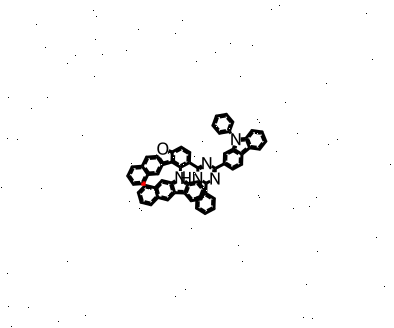 c1ccc(C2N=C(c3ccc4c5ccccc5n(-c5ccccc5)c4c3)N=C(c3ccc4oc5cc6ccccc6cc5c4c3-n3c4ccccc4c4cc5ccccc5cc43)N2)cc1